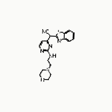 N#CC(c1ccnc(NCCN2CCOCC2)n1)c1nc2ccccc2s1